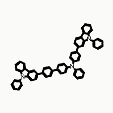 c1ccc(N(c2ccc(-c3ccc(-c4ccc5c(c4)c4ccccc4n5-c4ccccc4)cc3)cc2)c2ccc(-c3ccc4c5ccccc5n(-c5ccccc5)c4c3)cc2)cc1